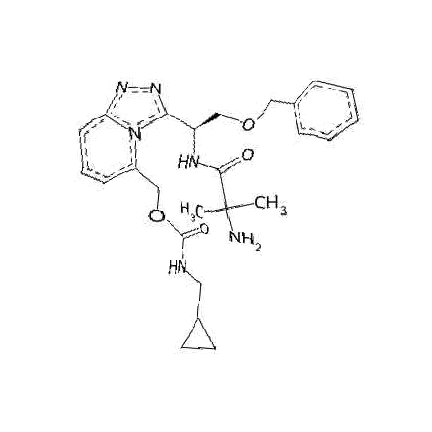 CC(C)(N)C(=O)N[C@H](COCc1ccccc1)c1nnc2cccc(COC(=O)NCC3CC3)n12